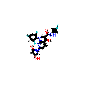 O=C(NC12CC(F)(C1)C2)c1cn(-c2c(F)cc(F)cc2F)c2nc(N3C[C@@H](O)CC3=O)ccc2c1=O